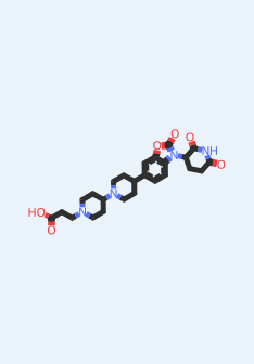 O=C(O)CCN1CCC(N2CCC(c3ccc4c(c3)oc(=O)n4C3CCC(=O)NC3=O)CC2)CC1